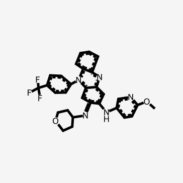 COc1ccc(Nc2cc3nc4ccccc4n(-c4ccc(C(F)(F)F)cc4)c-3c/c2=N\C2CCOCC2)cn1